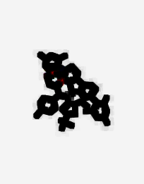 CCC1C=C(C(C)(C)C)C=[C]1[Zr](=[C](c1ccc(C)cc1)c1ccc(C)cc1)[CH]1c2cc(-c3c(C)cc(C)cc3C)ccc2-c2ccc(-c3c(C)cc(C)cc3C)cc21